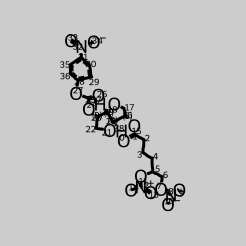 O=C(CCCC(CO[N+](=O)[O-])O[N+](=O)[O-])O[C@H]1CO[C@H]2[C@@H]1OC[C@H]2OC(=O)Oc1ccc([N+](=O)[O-])cc1